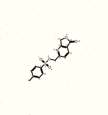 Cc1ccc(S(=O)(=O)OCc2ccc3c(n2)COC3=O)cc1